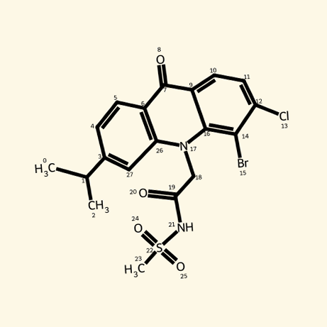 CC(C)c1ccc2c(=O)c3ccc(Cl)c(Br)c3n(CC(=O)NS(C)(=O)=O)c2c1